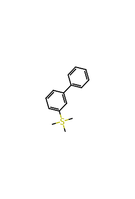 CS(C)(C)c1cccc(-c2ccccc2)c1